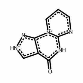 O=c1[nH]c2nccc[n+]2c2n[nH]cc12